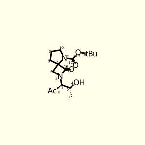 CC(=O)[C@H]([C@@H](C)O)N1CC2(CCCN2C(=O)OC(C)(C)C)C1=O